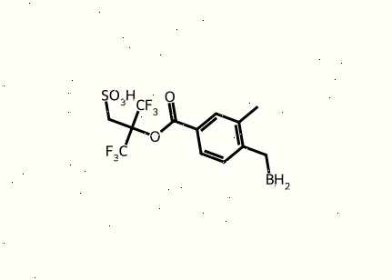 BCc1ccc(C(=O)OC(CS(=O)(=O)O)(C(F)(F)F)C(F)(F)F)cc1C